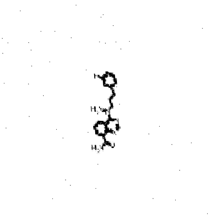 NC(=O)c1cccc2c(N(N)CCCc3cccc(F)c3)ncnc12